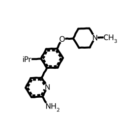 CC(C)c1cc(OC2CCN(C)CC2)ccc1-c1cccc(N)n1